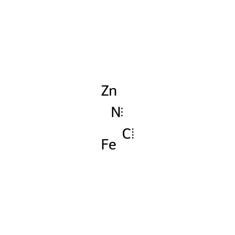 [C].[Fe].[N].[Zn]